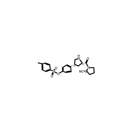 Cc1ccc(S(=O)(=O)Oc2ccc([C@@H]3CN[C@H](C(=O)N4CCC[C@H]4C#N)C3)cc2)cc1